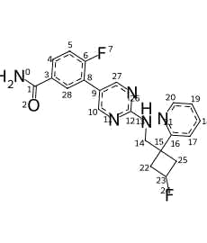 NC(=O)c1ccc(F)c(-c2cnc(NCC3(c4ccccn4)CC(F)C3)nc2)c1